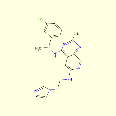 Cc1nc(NC(C)c2cccc(Br)c2)c2cc(NCCn3ccnc3)ncc2n1